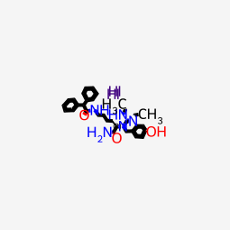 CCN=C(NCC)N(Cc1ccc(O)cc1)[C@H](CCCCNC(=O)C(c1ccccc1)c1ccccc1)C(N)=O.I.I